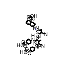 Cc1c(C#N)c(Nc2ccc(S(=O)(=O)O)cc2)nc(Nc2ccc(S(=O)(=O)O)cc2)c1N=Nc1sc(/N=N/c2ccc3c(S(=O)(=O)O)cccc3c2)cc1C#N